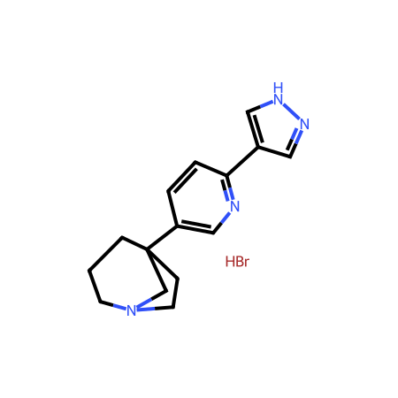 Br.c1n[nH]cc1-c1ccc(C23CCCN(CC2)C3)cn1